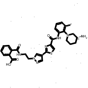 N[C@@H]1CCCN(c2c(F)cccc2NC(=O)c2csc(-c3cnn(CCNC(=O)c4ccccc4C(=O)O)c3)n2)C1